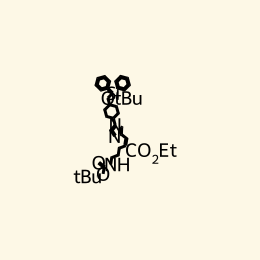 CCOC(=O)/C(=C/c1cn(C2CCC(O[Si](c3ccccc3)(c3ccccc3)C(C)(C)C)CC2)cn1)CCCNC(=O)OC(C)(C)C